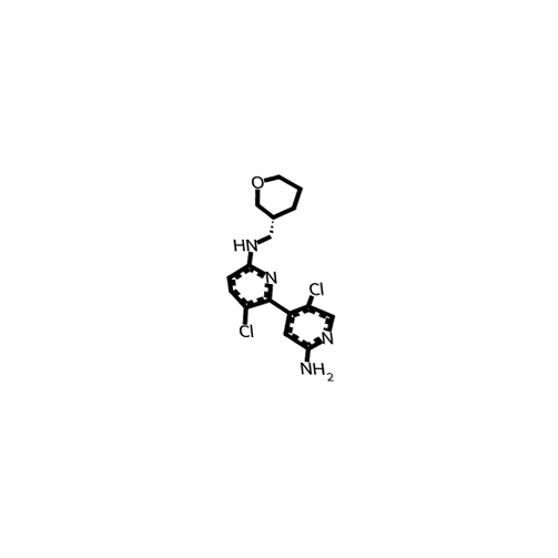 Nc1cc(-c2nc(NC[C@H]3CCCOC3)ccc2Cl)c(Cl)cn1